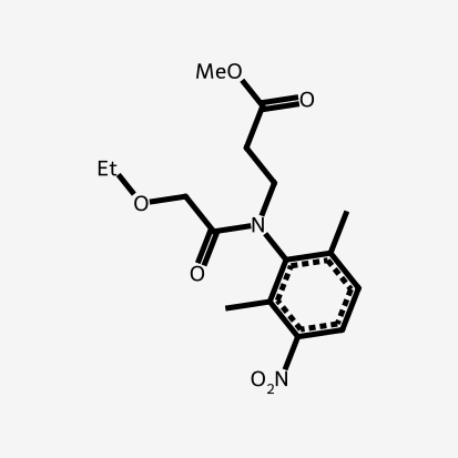 CCOCC(=O)N(CCC(=O)OC)c1c(C)ccc([N+](=O)[O-])c1C